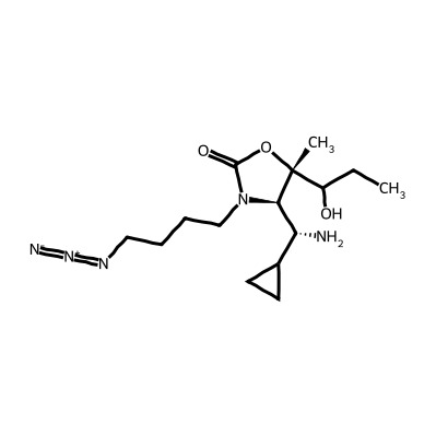 CCC(O)[C@@]1(C)OC(=O)N(CCCCN=[N+]=[N-])[C@@H]1[C@H](N)C1CC1